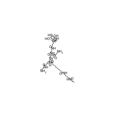 C/C=C/C(=O)NCCCCCCNC(=O)CCCCCCCCCCC(=O)NC(COCCC(=O)NCCCN)(COCCC(=O)NCCCN)COCCC(=O)NCCCNC(=O)CCCCO[C@@H]1OC(CO)[C@@H](O)C(O)C1NC(C)=O